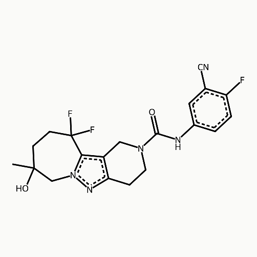 CC1(O)CCC(F)(F)c2c3c(nn2C1)CCN(C(=O)Nc1ccc(F)c(C#N)c1)C3